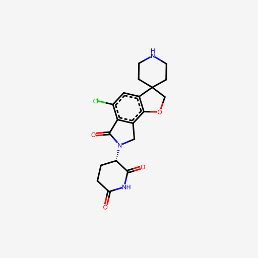 O=C1CC[C@H](N2Cc3c4c(cc(Cl)c3C2=O)C2(CCNCC2)CO4)C(=O)N1